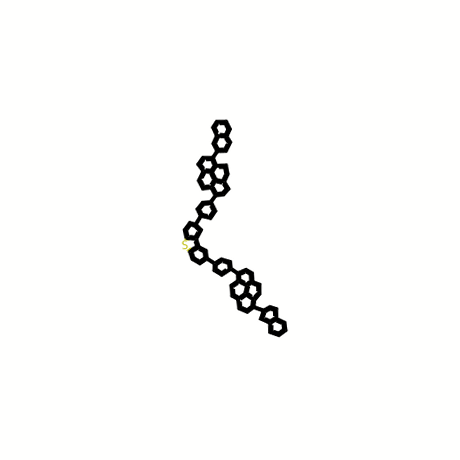 c1ccc2cc(-c3ccc4ccc5c(-c6ccc(-c7ccc8sc9ccc(-c%10ccc(-c%11ccc%12ccc%13c(-c%14ccc%15ccccc%15c%14)ccc%14ccc%11c%12c%14%13)cc%10)cc9c8c7)cc6)ccc6ccc3c4c65)ccc2c1